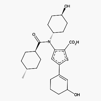 C[C@H]1CC[C@H](C(=O)N(c2cc(C3=CC(O)CCC3)sc2C(=O)O)[C@H]2CC[C@H](O)CC2)CC1